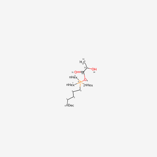 CCCCCCCCCCCCCCP(CCCCCC)(CCCCCC)(CCCCCC)OC(=O)C(C)O